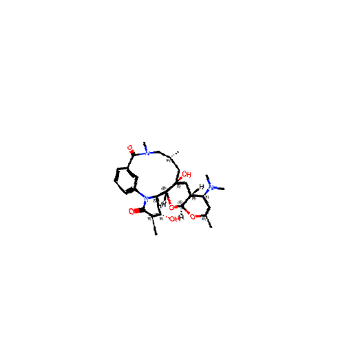 C[C@H]1CN(C)C(=O)c2cccc(c2)N2C(=O)[C@H](C)[C@@H](O)[C@H]2[C@H]2O[C@@H]3O[C@H](C)C[C@H](N(C)C)[C@H]3C[C@@]2(O)C1